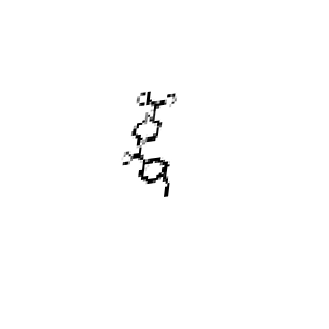 C=Cc1ccc(C(=O)N2CCN(C(=O)Cl)CC2)cc1